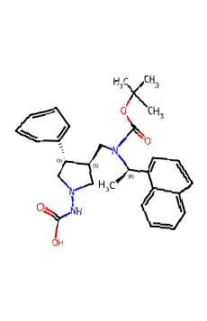 C[C@H](c1cccc2ccccc12)N(C[C@H]1CN(NC(=O)O)C[C@@H]1c1ccccc1)C(=O)OC(C)(C)C